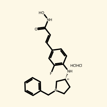 Cl.Cl.O=C(C=Cc1ccc(N[C@@H]2CCN(Cc3ccccc3)C2)c(F)c1)NO